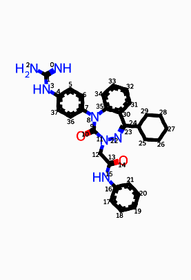 N=C(N)Nc1ccc(N2C(=O)N(CC(=O)Nc3ccccc3)N=C(C3CCCCC3)c3ccccc32)cc1